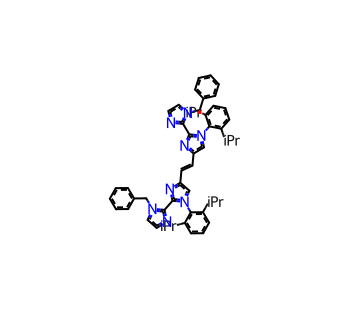 CC(C)c1cccc(C(C)C)c1-n1cc(/C=C/c2cn(-c3c(C(C)C)cccc3C(C)C)c(-c3nccn3Cc3ccccc3)n2)nc1-c1nccn1Cc1ccccc1